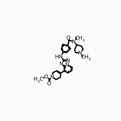 COC(=O)N1CC=C(c2cccn3nc(Nc4ccc(C(=O)N(C)C5CCN(C)CC5)cc4)nc23)CC1